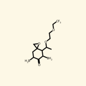 BC1CC2(CO2)C(C(C)OCCOCC(F)(F)F)C(B)C1=O